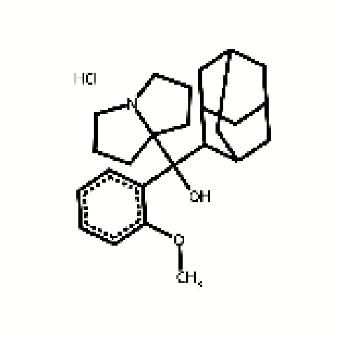 COc1ccccc1C(O)(C1C2CC3CC(C2)CC1C3)C12CCCN1CCC2.Cl